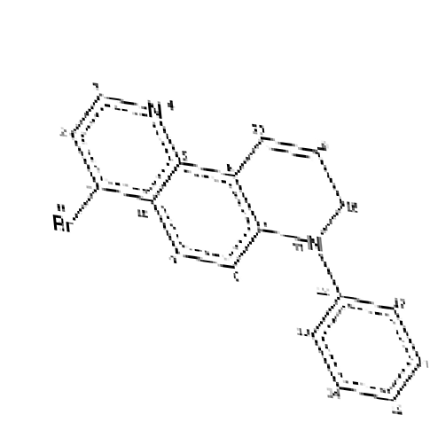 Brc1ccnc2c3c(ccc12)N(c1ccccc1)CC=C3